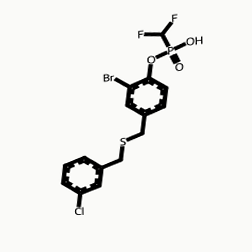 O=P(O)(Oc1ccc(CSCc2cccc(Cl)c2)cc1Br)C(F)F